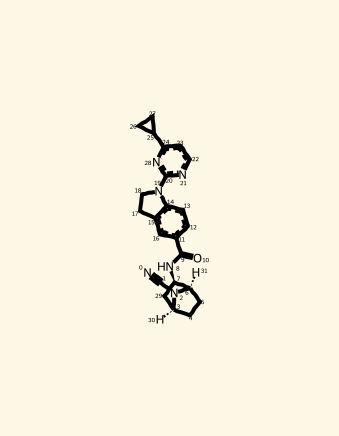 N#CN1[C@H]2CC[C@@H]1[C@H](NC(=O)c1ccc3c(c1)CCN3c1nccc(C3CC3)n1)C2